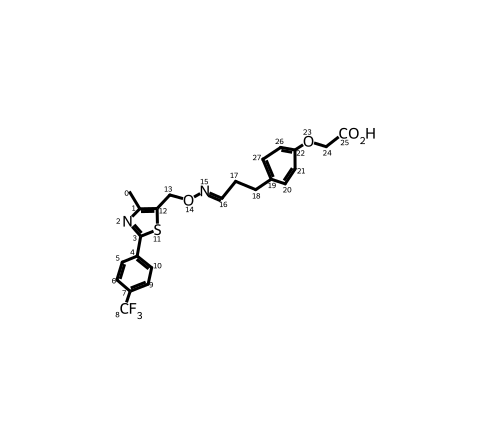 Cc1nc(-c2ccc(C(F)(F)F)cc2)sc1CON=CCCc1ccc(OCC(=O)O)cc1